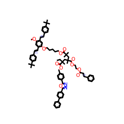 CCC(C)(CC(C)(CC(C)(C)C(=O)OCCCCCOc1cc(/C=C/c2ccc(C(C)(C)C)cc2)c(OC)cc1/C=C/c1ccc(C(C)(C)C)cc1)C(=O)OCCOC(=O)/C=C/c1ccccc1)C(=O)OCc1ccc(-c2nnc(-c3ccc(-c4ccccc4)cc3)o2)cc1